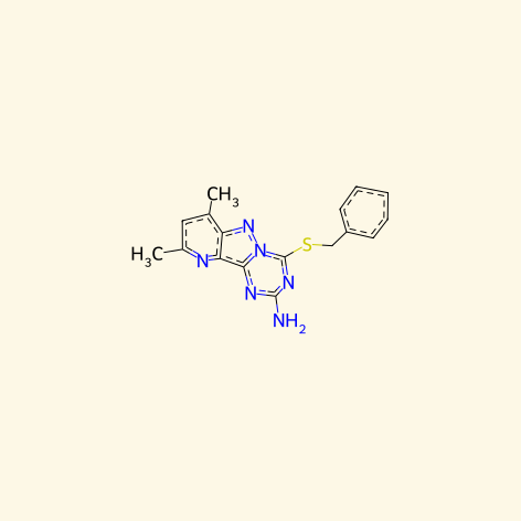 Cc1cc(C)c2nn3c(SCc4ccccc4)nc(N)nc3c2n1